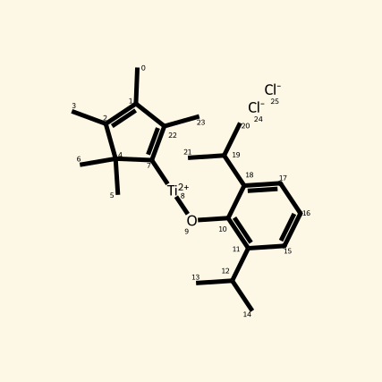 CC1=C(C)C(C)(C)[C]([Ti+2][O]c2c(C(C)C)cccc2C(C)C)=C1C.[Cl-].[Cl-]